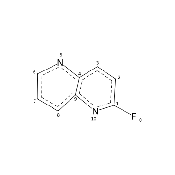 Fc1ccc2ncccc2n1